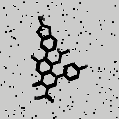 CN1Cc2ccc(-c3c(F)cc4c(=O)c(C(=O)O)cn(-c5ccc(F)cc5)c4c3OC(F)F)cc2C1